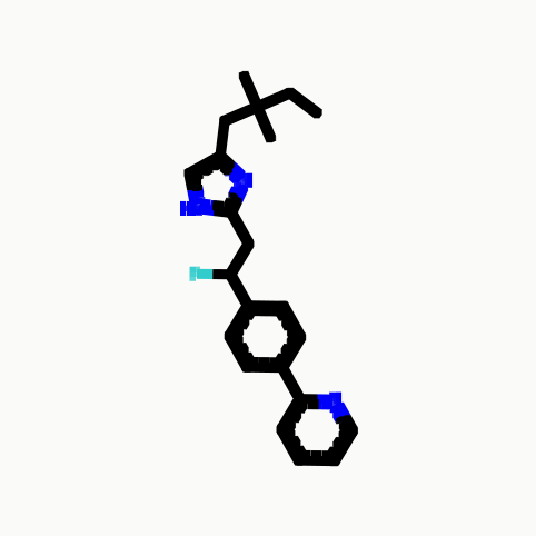 CCC(C)(C)Cc1c[nH]c(CC(F)c2ccc(-c3ccccn3)cc2)n1